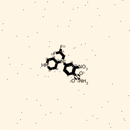 NS(=O)(=O)c1ccc(N(CC(F)F)C2CCNCC2)cc1[N+](=O)[O-]